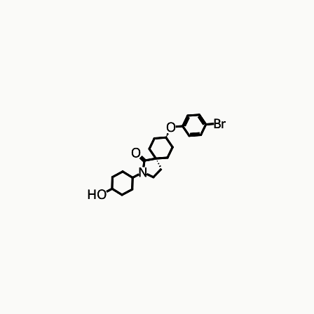 O=C1N(C2CCC(O)CC2)CC[C@]12CC[C@@H](Oc1ccc(Br)cc1)CC2